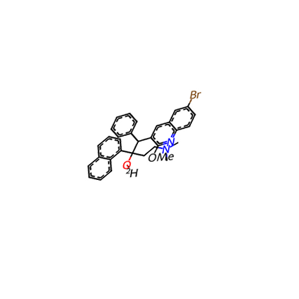 [2H]OC(CCN(C)C)(c1cccc2ccccc12)C(c1ccccc1)c1cc2cc(Br)ccc2nc1OC